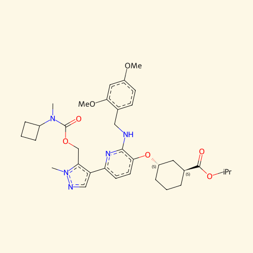 COc1ccc(CNc2nc(-c3cnn(C)c3COC(=O)N(C)C3CCC3)ccc2O[C@H]2CCC[C@H](C(=O)OC(C)C)C2)c(OC)c1